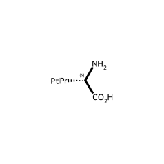 CC(C)[C@H](N)C(=O)O.[Pt]